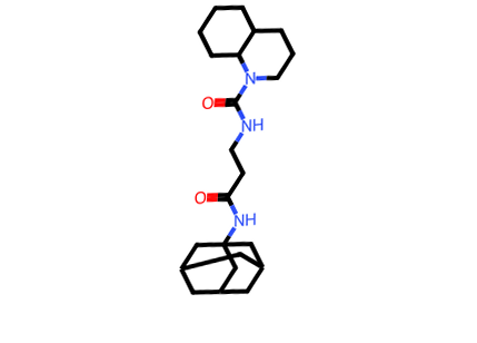 O=C(CCNC(=O)N1CCCC2CCCCC21)NC12CC3CC(CC(C3)C1)C2